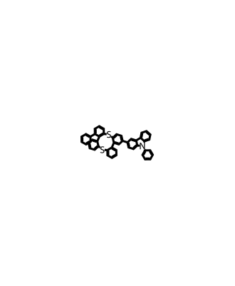 c1ccc(-c2cccc3c2-c2ccccc2Sc2ccccc2-c2cc(-c4ccc5c(c4)c4ccccc4n5-c4ccccc4)ccc2S3)cc1